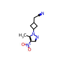 Cc1c([N+](=O)[O-])cnn1C1CC(CC#N)C1